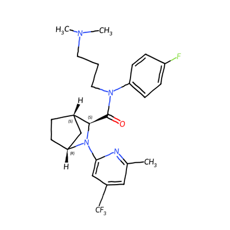 Cc1cc(C(F)(F)F)cc(N2[C@@H]3CC[C@@H](C3)[C@H]2C(=O)N(CCCN(C)C)c2ccc(F)cc2)n1